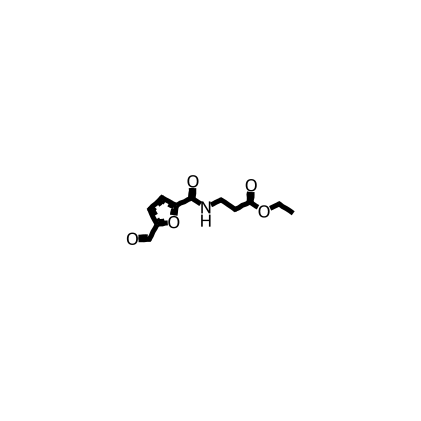 CCOC(=O)CCNC(=O)c1ccc(C=O)o1